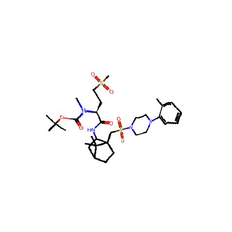 Cc1ccccc1N1CCN(S(=O)(=O)CC23CCC(CC2NC(=O)[C@H](CCS(C)(=O)=O)N(C)C(=O)OC(C)(C)C)C3(C)C)CC1